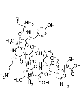 CC(C)C[C@H](NC(=O)[C@H](CO)NC(=O)[C@H](CC(C)C)NC(=O)[C@@H](NC(=O)[C@H](CCCCN)NC(=O)[C@H](C)NC(=O)[C@H](Cc1ccc(O)cc1)NC(=O)[C@@H](N)CS)C(C)C)C(=O)N[C@@H](CC(N)=O)C(=O)N[C@@H](CS)C(=O)O